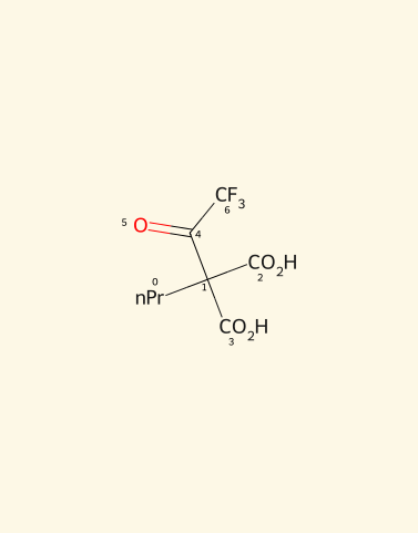 CCCC(C(=O)O)(C(=O)O)C(=O)C(F)(F)F